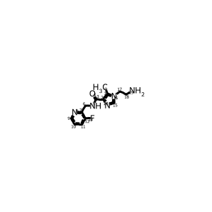 Cc1c(C(=O)NCc2ncccc2F)ncn1CCN